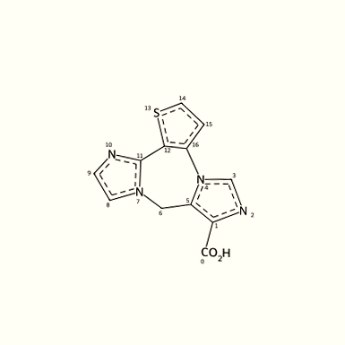 O=C(O)c1ncn2c1Cn1ccnc1-c1sccc1-2